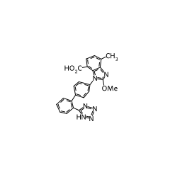 COc1nc2c(C)ccc(C(=O)O)c2n1-c1ccc(-c2ccccc2-c2nnn[nH]2)cc1